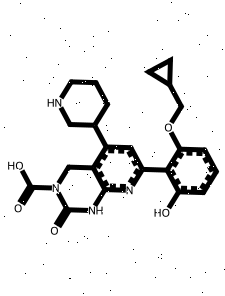 O=C(O)N1Cc2c(C3CCCNC3)cc(-c3c(O)cccc3OCC3CC3)nc2NC1=O